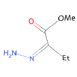 CC/C(=N/N)C(=O)OC